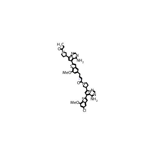 C=CC(=O)N1CCC(c2cc(-c3cc4cc(C/C=C/C(=O)N5CCC(c6cc(-c7cc8cc(Cl)cc(OC)c8s7)c7c(N)ncnn67)C5)cc(OC)c4s3)c3c(N)ncnn23)C1